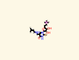 C=P(C)(C)CCC1OC(n2cc(CNCC=C(C)C)c(=O)[nH]c2=S)[C@H](O)[C@@H]1O